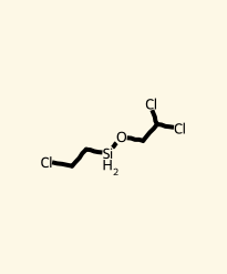 ClCC[SiH2]OCC(Cl)Cl